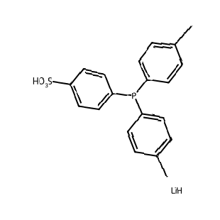 Cc1ccc(P(c2ccc(C)cc2)c2ccc(S(=O)(=O)O)cc2)cc1.[LiH]